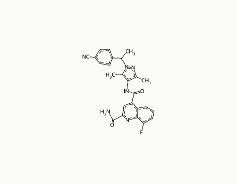 Cc1nn(C(C)c2ccc(C#N)cc2)c(C)c1NC(=O)c1cc(C(N)=O)nc2c(F)cccc12